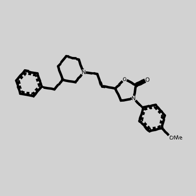 COc1ccc(N2CC(CCN3CCCC(Cc4ccccc4)C3)OC2=O)cc1